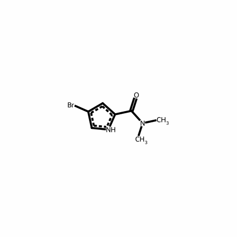 CN(C)C(=O)c1cc(Br)c[nH]1